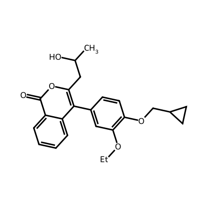 CCOc1cc(-c2c(CC(C)O)oc(=O)c3ccccc23)ccc1OCC1CC1